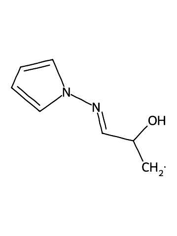 [CH2]C(O)C=Nn1cccc1